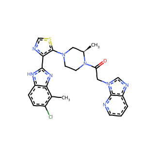 Cc1c(Cl)ccc2[nH]c(-c3ncsc3N3CCN(C(=O)Cn4cnc5cccnc54)[C@H](C)C3)nc12